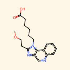 COCCc1nc2cnc3ccccc3c2n1CCCCCC(=O)O